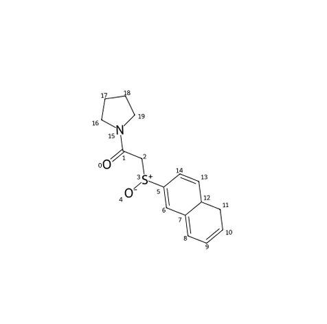 O=C(C[S+]([O-])C1=CC2=CC=CCC2C=C1)N1CCCC1